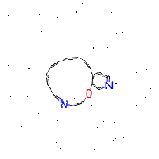 C1=CC=CC=NC=COc2cnccc2C=CC=C1